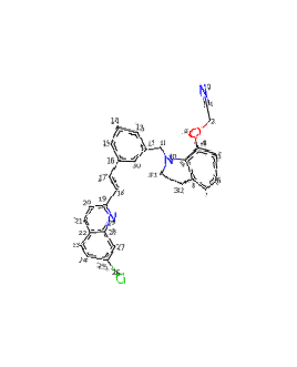 N#CCOc1cccc2c1N(Cc1cccc(/C=C/c3ccc4ccc(Cl)cc4n3)c1)CC2